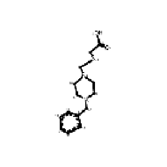 O=C(O)CSCN1CCN(Cc2ccccc2)CC1